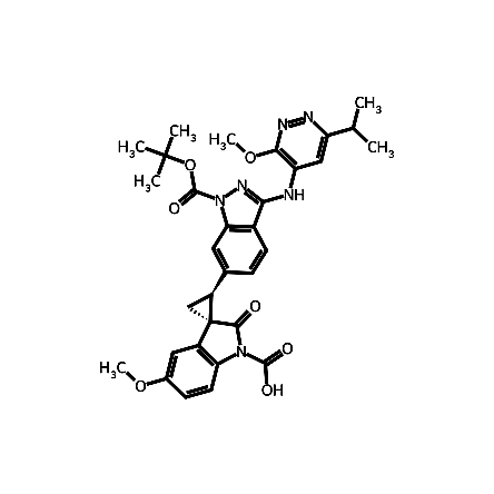 COc1ccc2c(c1)[C@]1(C[C@H]1c1ccc3c(Nc4cc(C(C)C)nnc4OC)nn(C(=O)OC(C)(C)C)c3c1)C(=O)N2C(=O)O